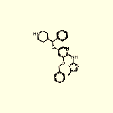 Cc1csc(Nc2ncc(SC(c3ccccc3)C3CCNCC3)cc2OCc2ccccc2)n1